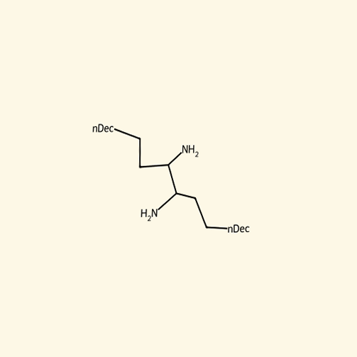 CCCCCCCCCCCCC(N)C(N)CCCCCCCCCCCC